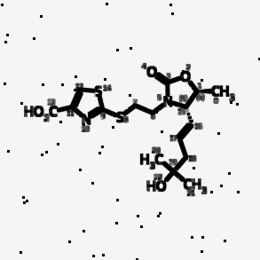 C[C@@H]1OC(=O)N(CCSc2nc(C(=O)O)cs2)[C@H]1C=CCC(C)(C)O